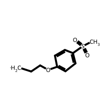 [CH2]CCOc1ccc(S(C)(=O)=O)cc1